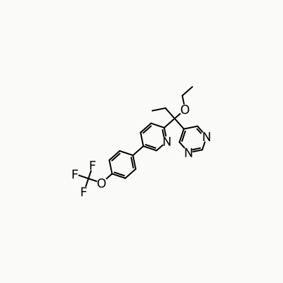 CCOC(CC)(c1cncnc1)c1ccc(-c2ccc(OC(F)(F)F)cc2)cn1